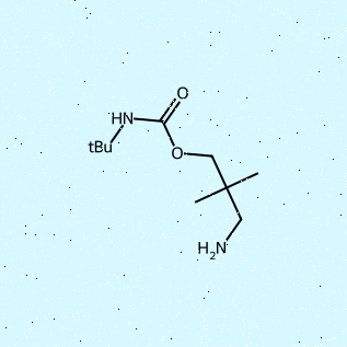 CC(C)(CN)COC(=O)NC(C)(C)C